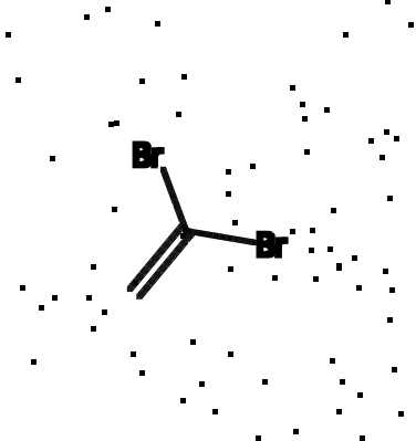 C=C(Br)Br